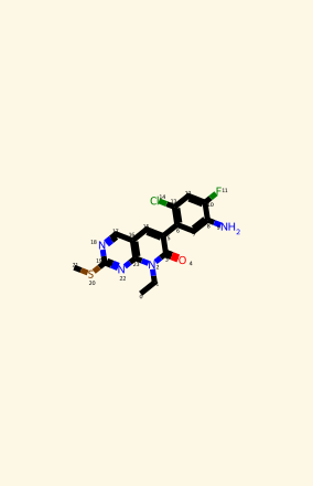 CCn1c(=O)c(-c2cc(N)c(F)cc2Cl)cc2cnc(SC)nc21